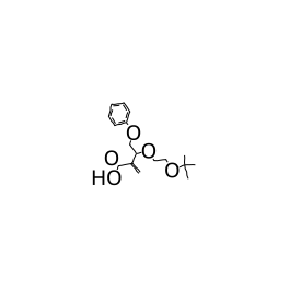 C=C(C(=O)O)C(COc1ccccc1)OCCOC(C)(C)C